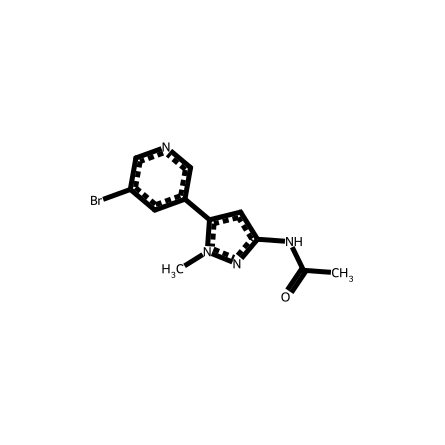 CC(=O)Nc1cc(-c2cncc(Br)c2)n(C)n1